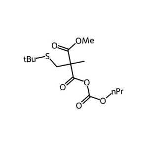 CCCOC(=O)OC(=O)C(C)(CSC(C)(C)C)C(=O)OC